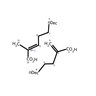 C=C(CCCCCCCCCCCC)C(=O)O.CCCCCCCCCCCC/C=C(\C)C(=O)O